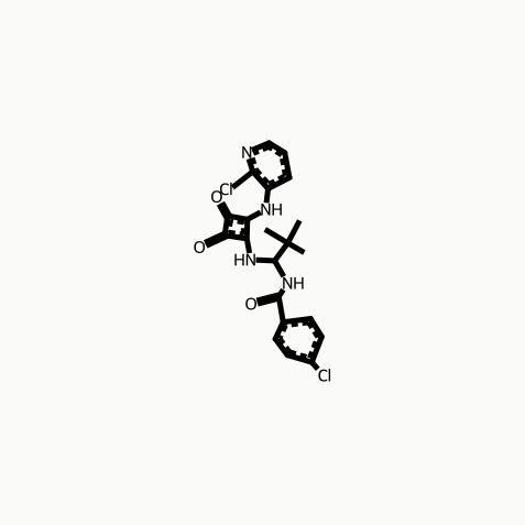 CC(C)(C)C(NC(=O)c1ccc(Cl)cc1)Nc1c(Nc2cccnc2Cl)c(=O)c1=O